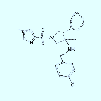 Cn1cnc(S(=O)(=O)N2CC(c3ccccc3)C(C)(NCc3ccc(Cl)cc3)C2)c1